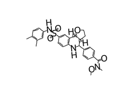 CON(C)C(=O)c1ccc(C2Nc3ccc(S(=O)(=O)Nc4ccc(C)c(C)c4)cc3[C@H]3OCC[C@@H]23)cc1